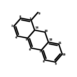 CC1=CC=CC2=Cc3ccccc3CC12